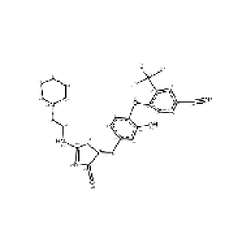 N#Cc1ccc(Oc2ccc(/C=C3\SC(NCCN4CCCCC4)=NC3=O)cc2O)c(C(F)(F)F)c1